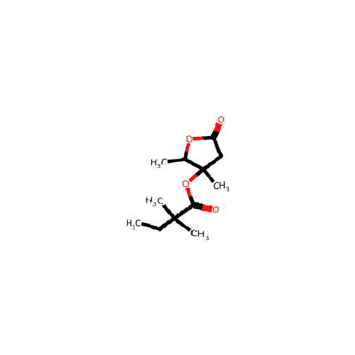 CCC(C)(C)C(=O)OC1(C)CC(=O)OC1C